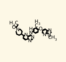 C=CC(=O)N1CCCC(c2ccc3ncnc(Nc4ccc(Oc5cnc6c(c5)ncn6C)c(C)c4)c3n2)CC1